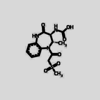 C[C@H]1[C@H](NC(=O)O)C(=O)Nc2ccccc2N1C(=O)CS(C)(=O)=O